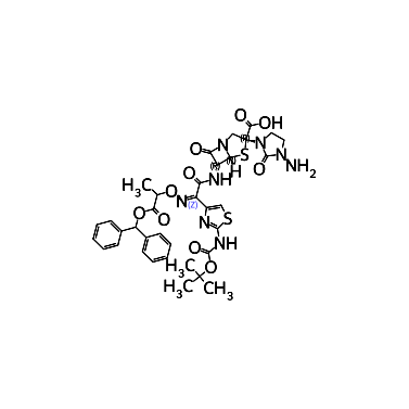 CC(O/N=C(\C(=O)N[C@@H]1C(=O)N2C[C@@](C(=O)O)(N3CCN(N)C3=O)S[C@H]12)c1csc(NC(=O)OC(C)(C)C)n1)C(=O)OC(c1ccccc1)c1ccccc1